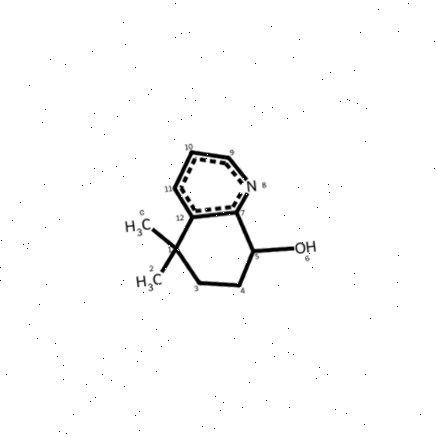 CC1(C)CCC(O)c2ncccc21